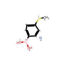 CSc1ccc(B(O)O)cc1.[N]